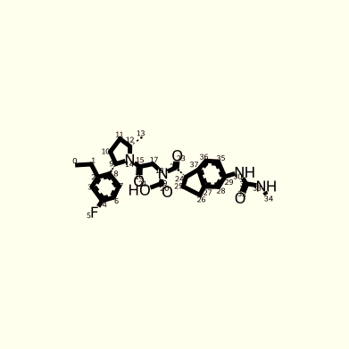 CCc1cc(F)ccc1[C@@H]1CC[C@H](C)N1C(=O)CN(C(=O)O)C(=O)[C@H]1CCc2cc(NC(=O)NC)ccc21